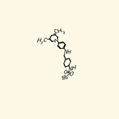 CC1C[C@@H](C)CN(c2ccc(NCC3CCC(NS(=O)(=O)C(C)(C)C)CC3)cc2)C1